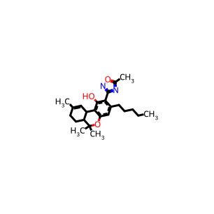 CCCCCc1cc2c(c(O)c1-c1noc(C)n1)C1C=C(C)CCC1C(C)(C)O2